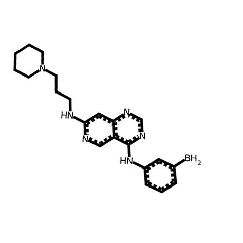 Bc1cccc(Nc2ncnc3cc(NCCCN4CCCCC4)ncc23)c1